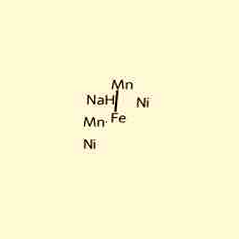 [Mn].[Mn][Fe].[NaH].[Ni].[Ni]